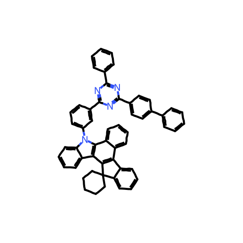 c1ccc(-c2ccc(-c3nc(-c4ccccc4)nc(-c4cccc(-n5c6ccccc6c6c7c(c8ccccc8c65)-c5ccccc5C75CCCCC5)c4)n3)cc2)cc1